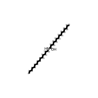 CCCCCCCCCCCCCCCNC(O)CCCCCCCCCCCCCC